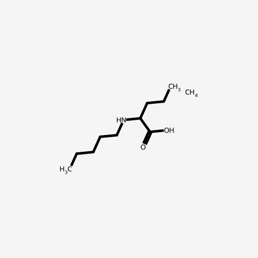 C.CCCCCNC(CCC)C(=O)O